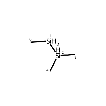 C[SiH2][SiH](C)C